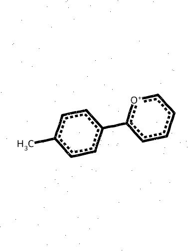 Cc1ccc(-c2cccc[o+]2)cc1